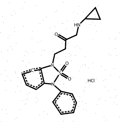 Cl.O=C(CCN1c2ccccc2N(c2ccccc2)S1(=O)=O)CNC1CC1